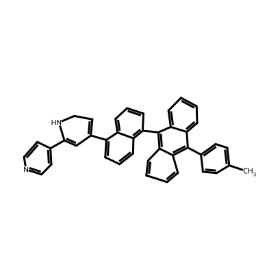 Cc1ccc(-c2c3ccccc3c(-c3cccc4c(C5=CCNC(c6ccncc6)=C5)cccc34)c3ccccc23)cc1